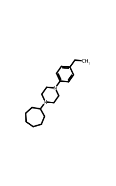 CCc1ccc(N2CCN(C3CCCCCC3)CC2)cc1